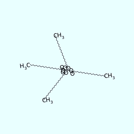 CCCCCCCCCCCCCCCCCCCCCC(=O)OC[C@H](OC(=O)CCCCCCCCCCCCCCCCCCCCC)[C@@H](COC(=O)CCCCCCCCCCCCCCCCCCCCC)OC(=O)CCCCCCCCCCCCCCCCCCCCC